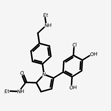 CCNCc1ccc(N2C(c3cc(Cl)c(O)cc3O)=CCC2C(=O)NCC)cc1